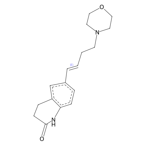 O=C1CCc2cc(/C=C/CCN3CCOCC3)ccc2N1